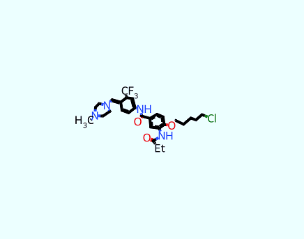 CCC(=O)Nc1cc(C(=O)NC2=CC(C(F)(F)F)C(=CN3CCN(C)CC3)C=C2)ccc1OCCCCCCl